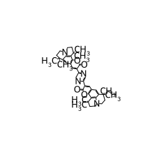 CC1(C)CCN2CCC(C)(C)c3c2c1cc1cc(-c2cnc(-c4cc5cc6c7c(c5oc4=O)C(C)(C)CCN7CCC6(C)C)cn2)c(=O)oc31